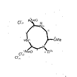 COC1CNC(OC)C[N]([Ti+3])C(OC)CN1.[Cl-].[Cl-].[Cl-]